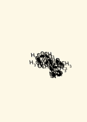 CC(=O)O[C@@H](C)C(=O)O[C@@H](C)C(=O)O[C@@H](C)C(=O)O[C@@H](C)C(=O)N(C[C@@H](COc1nsnc1N1CCOCC1)OC(=O)[C@H](C)O[C@@](C)(C=O)OC(C)=O)C(C)(C)C